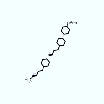 C/C=C/CC[C@H]1CC[C@H](/C=C/CCC2CCC([C@H]3CC[C@H](CCCCC)CC3)CC2)CC1